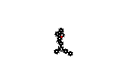 c1ccc(-c2ccc(-c3cc(-c4ccc5c(c4)oc4cc(-c6cccc7c6C6(CCCCC6)c6ccccc6-7)ccc45)nc(-c4ccccc4)n3)cc2)cc1